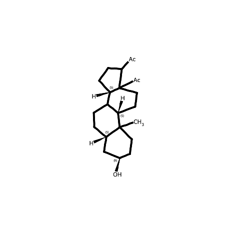 CC(=O)C1CC[C@H]2C3CC[C@H]4C[C@H](O)CCC4(C)[C@H]3CCC12C(C)=O